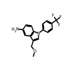 COCc1cn(-c2ccc(C(F)(F)F)cc2)c2ccc(N)cc12